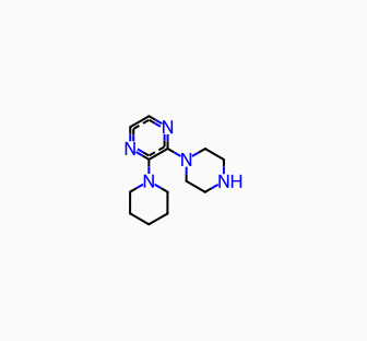 c1cnc(N2CCNCC2)c(N2CCCCC2)n1